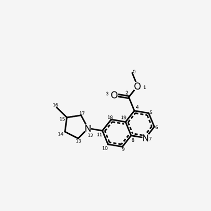 COC(=O)c1ccnc2ccc(N3CCC(C)C3)cc12